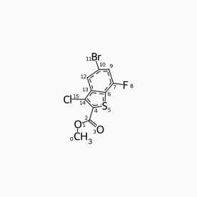 COC(=O)c1sc2c(F)cc(Br)cc2c1Cl